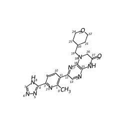 Cc1nc(-c2nnc[nH]2)ccc1-c1cnc2c(n1)N(CC1CCOCC1)CC(=O)N2